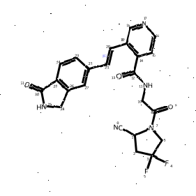 N#CC1CC(F)(F)CN1C(=O)CNC(=O)c1ccncc1/C=C/c1ccc2c(c1)CNC2=O